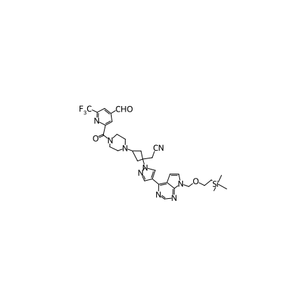 C[Si](C)(C)CCOCn1ccc2c(-c3cnn(C4(CC#N)CC(N5CCN(C(=O)c6cc(C=O)cc(C(F)(F)F)n6)CC5)C4)c3)ncnc21